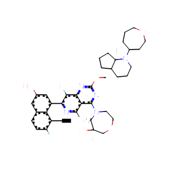 C#Cc1c(F)ccc2cc(O)cc(-c3nc(OC)c4c(N5CCOC[C@@](C)(O)C5)nc(OC[C@]56CCC[C@H]5N(C5CCCOCC5)CCC6)nc4c3F)c12